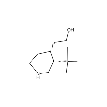 CC(C)(C)[C@@H]1CNCC[C@@H]1CCO